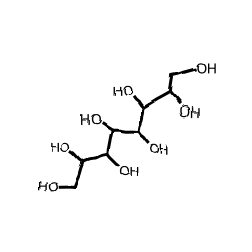 OCC(O)C(O)C(O)C(O)C(O)C(O)CO